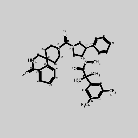 CN(C(=O)C(C)(C)c1cc(C(F)(F)F)cc(C(F)(F)F)c1)[C@@H]1CN(C(=O)N2CCC3(CC2)CNC(=O)c2ccccc23)C[C@H]1c1ccccc1